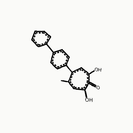 Cc1cc(O)c(=O)c(O)cc1-c1ccc(-c2ccccc2)cc1